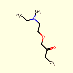 CCC(=O)COCCN(C)CC